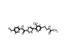 CC(=O)NCCc1cnc(C2=CCN(C(=O)Nc3ccc(CF)cn3)CC2)c(Cl)c1